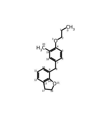 CCCOc1ccc(Cc2cccc3c2OCC3)cc1C